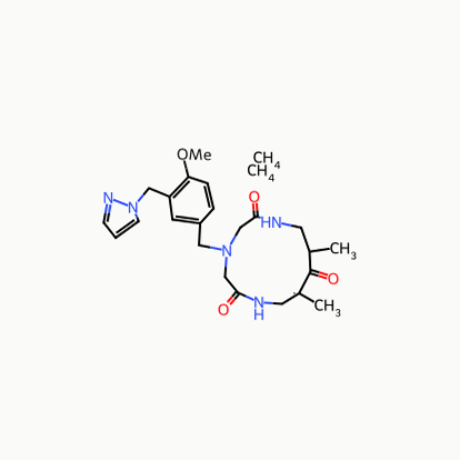 C.C.COc1ccc(CN2CC(=O)NC[C](C)C(=O)C(C)CNC(=O)C2)cc1Cn1cccn1